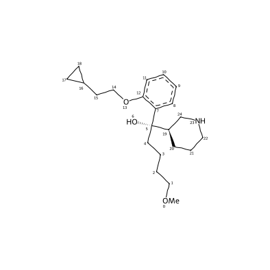 COCCCC[C@@](O)(c1ccccc1OCCC1CC1)[C@@H]1CCCNC1